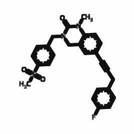 CN1C(=O)N(Cc2ccc(S(C)(=O)=O)cc2)Cc2cc(C#CCc3ccc(F)cc3)ccc21